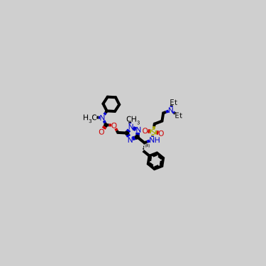 CCN(CC)CCCS(=O)(=O)N[C@H](Cc1ccccc1)c1nc(COC(=O)N(C)C2CCCCC2)n(C)n1